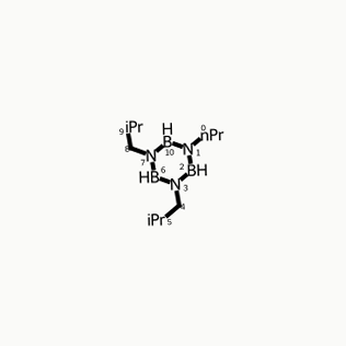 CCCN1BN(CC(C)C)BN(CC(C)C)B1